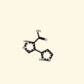 O=C(O)c1[nH]ncc1-c1ccn[nH]1